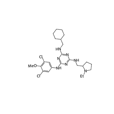 CCN1CCCC1CNc1nc(NCC2CCCCC2)nc(Nc2cc(Cl)c(OC)c(Cl)c2)n1